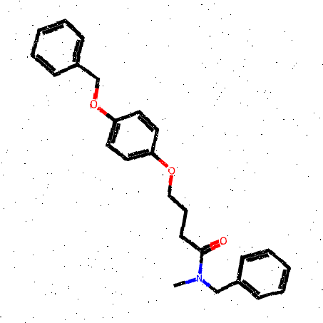 CN(Cc1ccccc1)C(=O)CCCOc1ccc(OCc2ccccc2)cc1